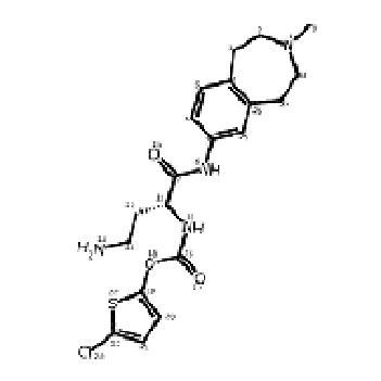 CN1CCc2ccc(NC(=O)[C@@H](CCN)NC(=O)Oc3ccc(Cl)s3)cc2CC1